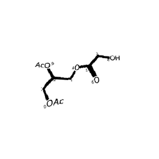 CC(=O)OCC(COC(=O)CO)OC(C)=O